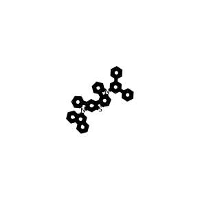 c1ccc(-c2cc(-c3ccccc3)cc(-n3c4ccccc4c4c5c(ccc43)sc3cc4c(cc35)c3ccccc3n4-c3cc4ccccc4c4ccccc34)c2)cc1